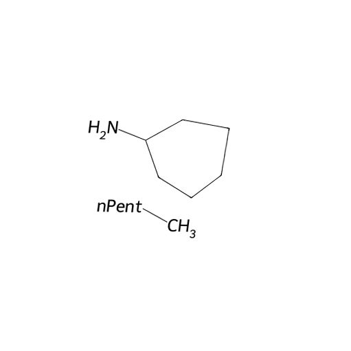 CCCCCC.NC1CCCCC1